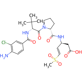 CC(C)(C)[C@@H](NC(=O)c1ccc(N)c(Cl)c1)C(=O)N1CCC[C@@H]1C(=O)N[C@H](/C=C/S(C)(=O)=O)CC(=O)O